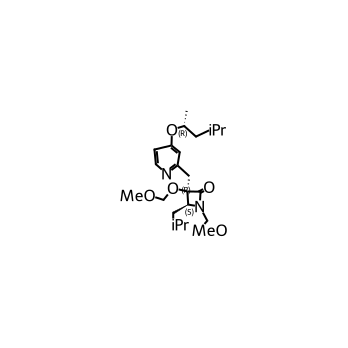 COCO[C@@]1(Cc2cc(O[C@H](C)CC(C)C)ccn2)C(=O)N(COC)[C@H]1CC(C)C